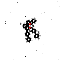 Cc1ccccc1-c1ccc2c3ccc(-c4ccccc4C)cc3n(-c3cc(-c4ccc(F)cc4F)ccc3-c3nc(-c4ccccc4)nc(-c4ccccc4)n3)c2c1